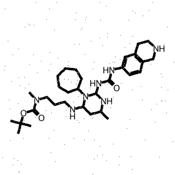 CC1CC(NCCCN(C)C(=O)OC(C)(C)C)N(C2CCCCCC2)C(NC(=O)Nc2ccc3c(c2)CCNC3)N1